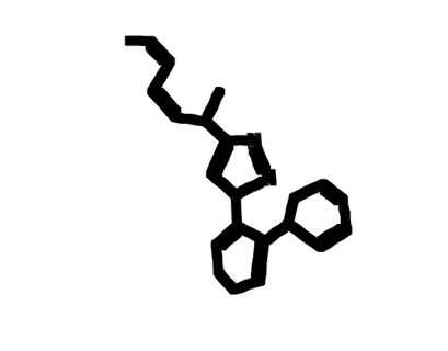 C/C=C\C=C/C(C)C1=CC(C2=CCCC=C2C2C=CC=CC2)N=N1